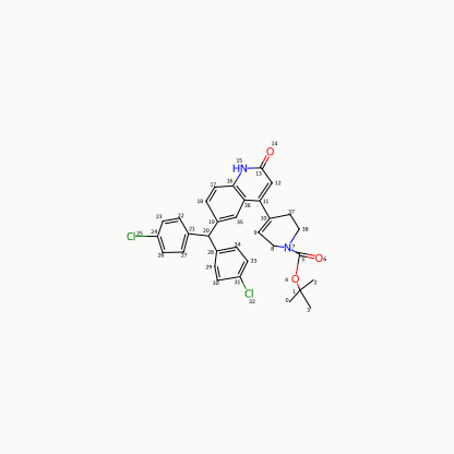 CC(C)(C)OC(=O)N1CC=C(c2cc(=O)[nH]c3ccc(C(c4ccc(Cl)cc4)c4ccc(Cl)cc4)cc23)CC1